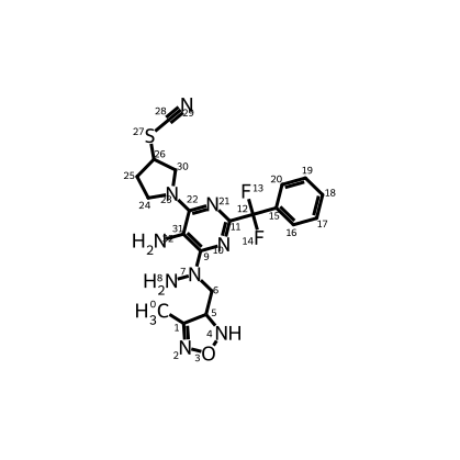 CC1=NONC1CN(N)c1nc(C(F)(F)c2ccccc2)nc(N2CCC(SC#N)C2)c1N